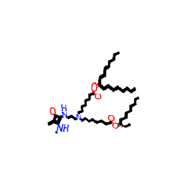 C=C1C(=O)C(NCCCN(CCCCCCCC(=O)OC(CCCCCCCC)CCCCCCCC)CCCCCCCC(=O)O[C@H](CC)CCCCCCCC)=C1NC